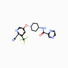 N#Cc1ncc(O[C@H]2CC[C@H](NC(=O)c3cnccn3)CC2)cc1C(F)(F)F